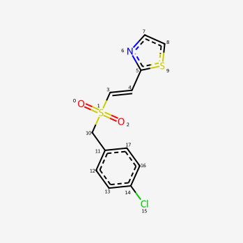 O=S(=O)(C=Cc1nccs1)Cc1ccc(Cl)cc1